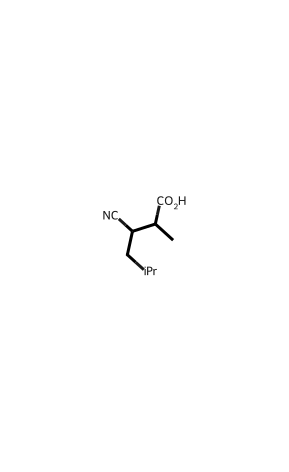 CC(C)CC(C#N)C(C)C(=O)O